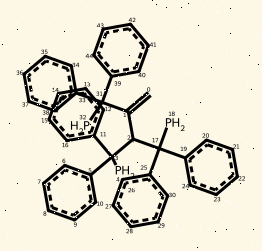 C=C([C](C(P)(c1ccccc1)c1ccccc1)C(P)(c1ccccc1)c1ccccc1)C(P)(c1ccccc1)c1ccccc1